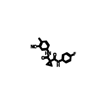 Cc1ccc(NC(=O)C2(C(=O)Nc3ccc(F)cc3)CC2)cc1C#N